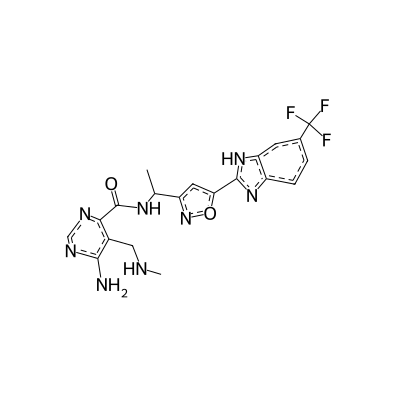 CNCc1c(N)ncnc1C(=O)NC(C)c1cc(-c2nc3ccc(C(F)(F)F)cc3[nH]2)on1